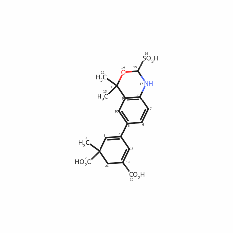 CC1(C(=O)O)C=C(c2ccc3c(c2)C(C)(C)OC(S(=O)(=O)O)N3)C=C(C(=O)O)C1